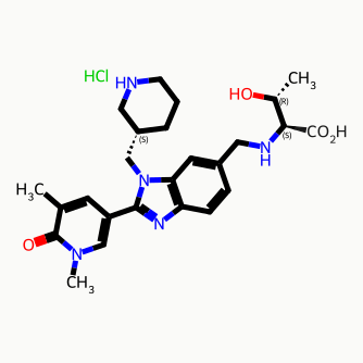 Cc1cc(-c2nc3ccc(CN[C@H](C(=O)O)[C@@H](C)O)cc3n2C[C@H]2CCCNC2)cn(C)c1=O.Cl